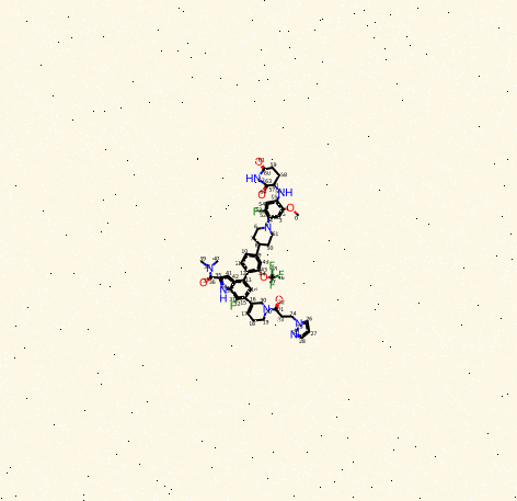 COc1cc(N2CCC(c3ccc(-c4cc(C5=CCCN(C(=O)CCn6cccn6)C5)c(F)c5[nH]c(C(=O)N(C)C)cc45)c(OC(F)(F)F)c3)CC2)c(F)cc1N[C@@H]1CCC(=O)NC1=O